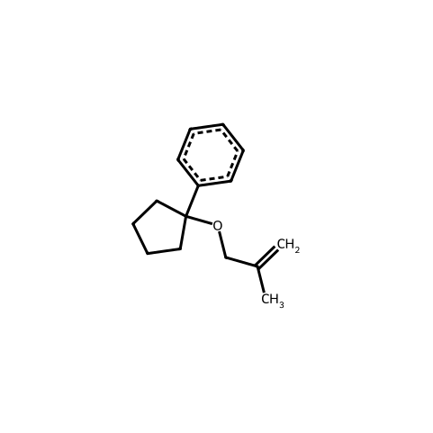 C=C(C)COC1(c2ccccc2)CCCC1